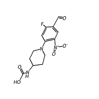 O=Cc1cc([N+](=O)[O-])c(N2CCC(NC(=O)O)CC2)cc1F